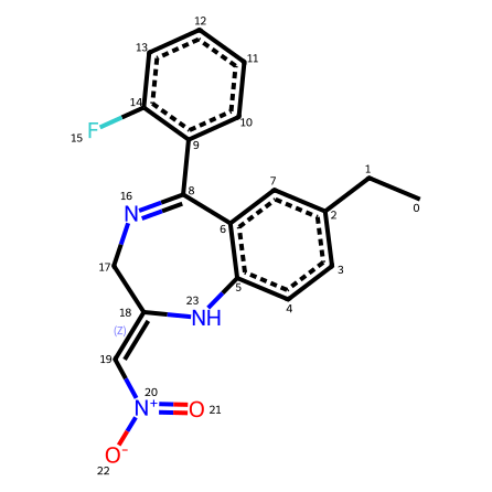 CCc1ccc2c(c1)C(c1ccccc1F)=NC/C(=C/[N+](=O)[O-])N2